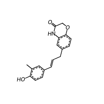 Cc1cc(C=CCc2ccc3c(c2)NC(=O)CO3)ccc1O